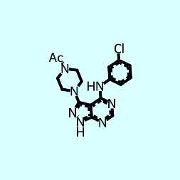 CC(=O)N1CCN(c2n[nH]c3ncnc(Nc4cccc(Cl)c4)c23)CC1